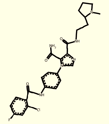 CN1CCCC1CCNC(=O)c1ncn(-c2ccc(NC(=O)c3ccc(F)cc3Cl)cc2)c1C(N)=O